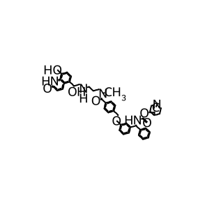 CN(CCCNCC(O)c1ccc(O)c2[nH]c(=O)ccc12)C(=O)c1ccc(COc2cccc(C(NC(=O)OC3CN4CCC3CC4)c3ccccc3)c2)cc1